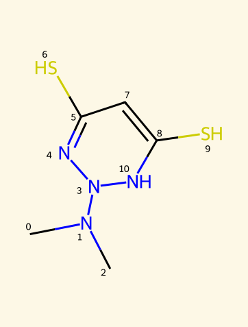 CN(C)N1N=C(S)C=C(S)N1